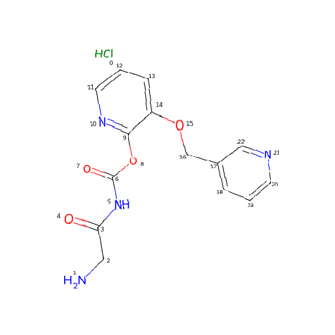 Cl.NCC(=O)NC(=O)Oc1ncccc1OCc1cccnc1